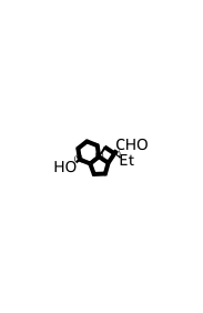 CC[C@@]1(C=O)C[C@]23CCC[C@H](O)C2CCC13